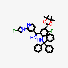 CC1(C)OB(c2cc(C(=N)c3ccnc(N4CC(F)C4)c3)c(NC(c3ccccc3)(c3ccccc3)c3ccccc3)cc2F)OC1(C)C